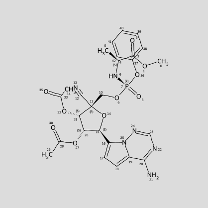 COC(=O)[C@H](C)N[P@@](=O)(OC[C@@]1(C#N)O[C@@H](c2ccc3c(N)ncnn23)[C@H](OC(C)=O)[C@@H]1OC(C)=O)Oc1ccccc1